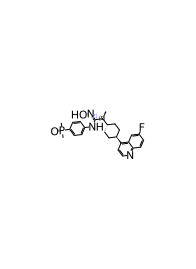 C[C@H](/C(=N/O)Nc1ccc(P(C)(C)=O)cc1)[C@H]1CC[C@H](c2ccnc3ccc(F)cc32)CC1